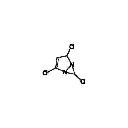 ClC1=CC(Cl)N2C(Cl)N12